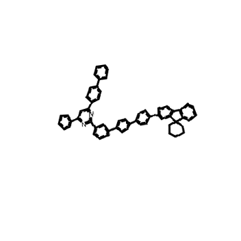 c1ccc(-c2ccc(-c3cc(-c4ccccc4)nc(-c4cccc(-c5ccc(-c6ccc(-c7ccc8c(c7)C7(CCCCC7)c7ccccc7-8)cc6)cc5)c4)n3)cc2)cc1